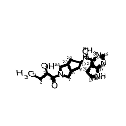 CC[C@@H](O)C(=O)N1CC2CC(N(C)c3ncnc4[nH]ccc34)CC2C1